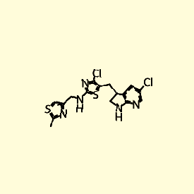 Cc1nc(CNc2nc(Cl)c(CC3CNc4ncc(Cl)cc43)s2)cs1